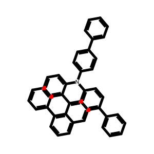 c1ccc(-c2ccc(N(c3ccc(-c4ccccc4)cc3)c3ccccc3-c3cccc4cccc(-c5ccccc5)c34)cc2)cc1